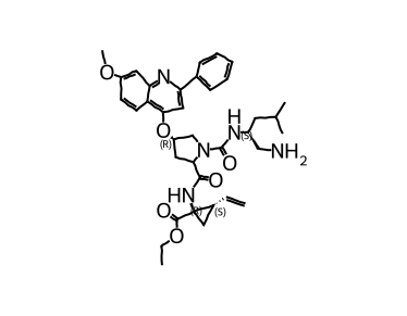 C=C[C@@H]1C[C@]1(NC(=O)C1C[C@@H](Oc2cc(-c3ccccc3)nc3cc(OC)ccc23)CN1C(=O)N[C@H](CN)CC(C)C)C(=O)OCC